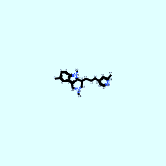 Cc1ccc2c(c1)c1c(n2C)C(CCCc2ccnc(C)c2)CN(C)C1